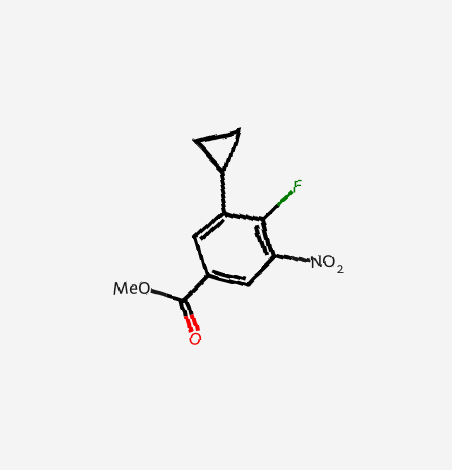 COC(=O)c1cc(C2CC2)c(F)c([N+](=O)[O-])c1